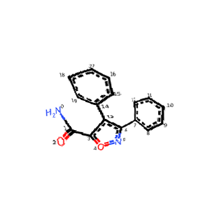 NC(=O)c1onc(-c2ccccc2)c1-c1ccccc1